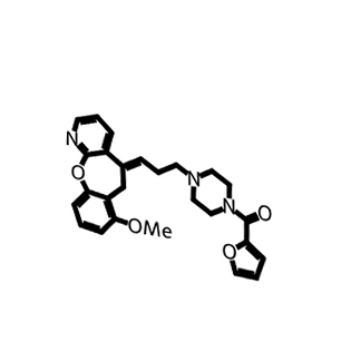 COc1cccc2c1CC(=CCCN1CCN(C(=O)c3ccco3)CC1)c1cccnc1O2